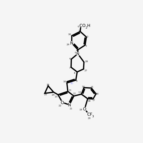 O=C(O)c1ccc(N2CCC(/C=C/c3c(-c4ccccc4OC(F)(F)F)noc3C3CC3)CC2)nc1